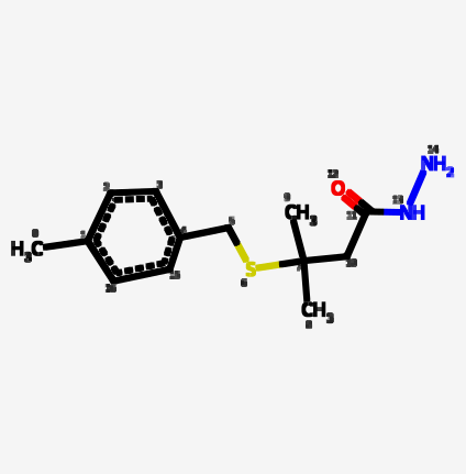 Cc1ccc(CSC(C)(C)CC(=O)NN)cc1